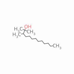 CCCCCCCCCCC(C)C(C)(C)O